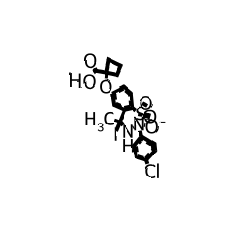 CC1(I)N[N+]([O-])(c2ccc(Cl)cc2)S(=O)(=O)c2ccc(OC3(C(=O)O)CCC3)cc21